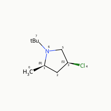 C[C@@H]1C[C@H](Cl)CN1C(C)(C)C